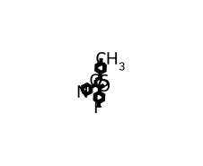 Cc1ccc(C(=S)OC(C(=O)c2ccc(F)cc2)c2ccncc2)cc1